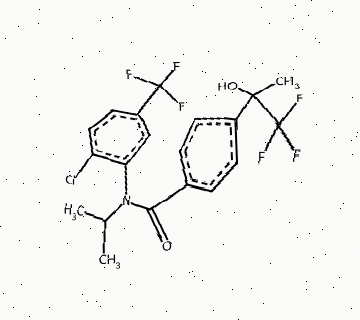 CC(C)N(C(=O)c1ccc(C(C)(O)C(F)(F)F)cc1)c1cc(C(F)(F)F)ccc1Cl